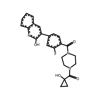 O=C(c1ccc(-c2cc3ccccc3nc2O)cc1F)N1CCN(C(=O)C2(O)CC2)CC1